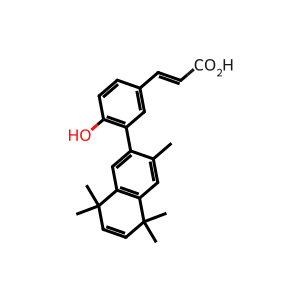 Cc1cc2c(cc1-c1cc(C=CC(=O)O)ccc1O)C(C)(C)C=CC2(C)C